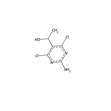 CC(O)c1c(Cl)nc(N)nc1Cl